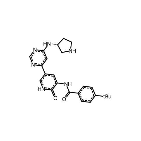 CC(C)(C)c1ccc(C(=O)Nc2cc(-c3cc(N[C@@H]4CCNC4)ncn3)c[nH]c2=O)cc1